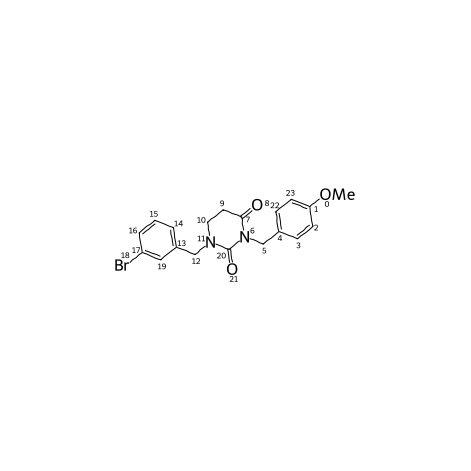 COc1ccc(CN2C(=O)CCN(Cc3cccc(Br)c3)C2=O)cc1